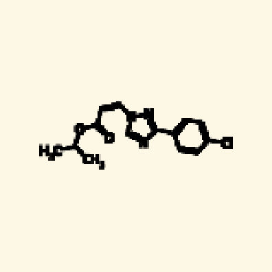 CC(C)OC(=O)/C=C\n1cnc(-c2ccc(Cl)cc2)n1